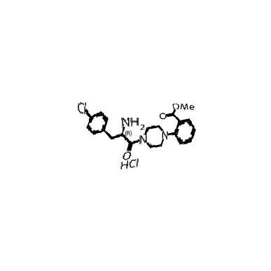 COC(=O)c1ccccc1N1CCN(C(=O)[C@H](N)Cc2ccc(Cl)cc2)CC1.Cl